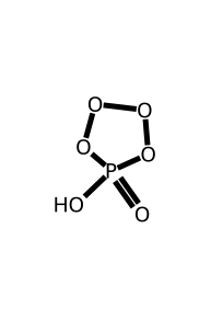 O=P1(O)OOOO1